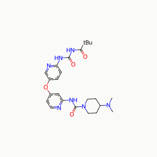 CN(C)C1CCN(C(=O)Nc2cc(Oc3ccc(NC(=O)NC(=O)C(C)(C)C)nc3)ccn2)CC1